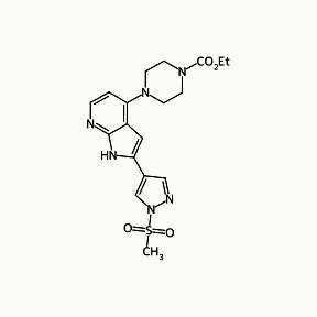 CCOC(=O)N1CCN(c2ccnc3[nH]c(-c4cnn(S(C)(=O)=O)c4)cc23)CC1